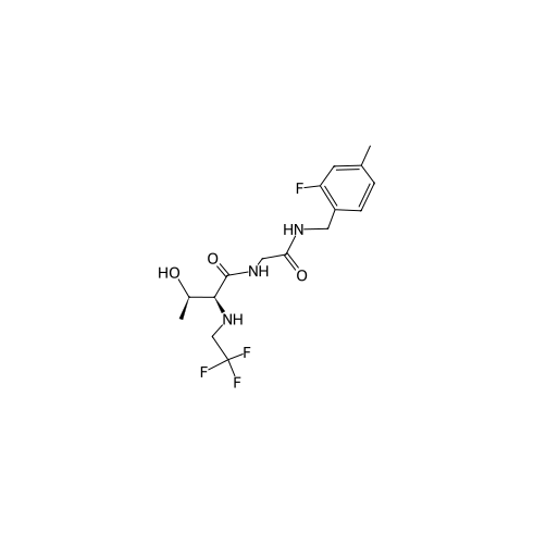 Cc1ccc(CNC(=O)CNC(=O)[C@@H](NCC(F)(F)F)[C@@H](C)O)c(F)c1